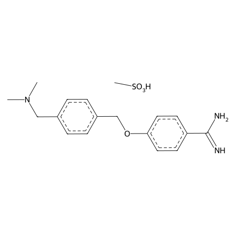 CN(C)Cc1ccc(COc2ccc(C(=N)N)cc2)cc1.CS(=O)(=O)O